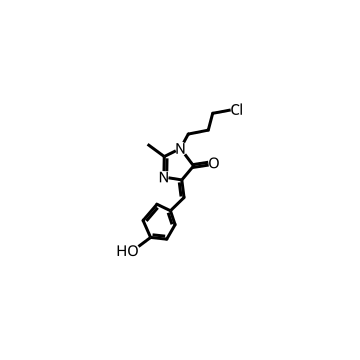 CC1=N/C(=C\c2ccc(O)cc2)C(=O)N1CCCCl